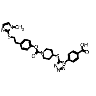 Cn1ccnc1SCCc1ccc(OC(=O)N2CCC(Sc3nnnn3-c3ccc(C(=O)O)cc3)CC2)cc1